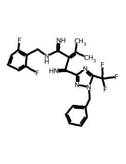 CC(C)=C(C(=N)NCc1c(F)cccc1F)C(=N)c1nc(C(F)(F)F)n(Cc2ccccc2)n1